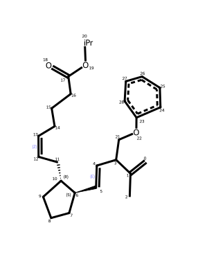 C=C(C)C(/C=C/[C@H]1CCC[C@@H]1C/C=C\CCCC(=O)OC(C)C)COc1ccccc1